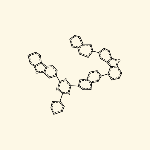 c1ccc(-c2nc(-c3ccc4cc(-c5cccc6oc7ccc(-c8ccc9ccccc9c8)cc7c56)ccc4c3)nc(-c3ccc4c(c3)oc3ccccc34)n2)cc1